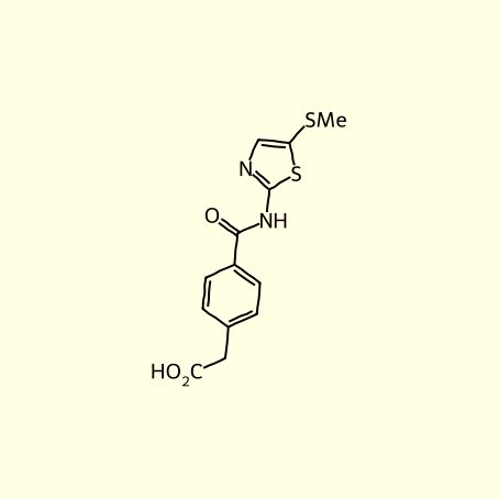 CSc1cnc(NC(=O)c2ccc(CC(=O)O)cc2)s1